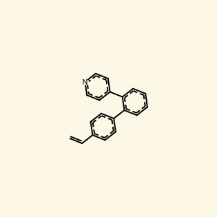 C=Cc1ccc(-c2ccccc2-c2ccncc2)cc1